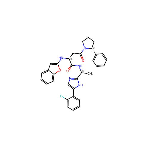 C[C@H](NC(=O)[C@H](CC(=O)N1CCC[C@@H]1c1ccccc1)Nc1cc2ccccc2o1)c1ncc(-c2ccccc2F)[nH]1